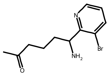 CC(=O)CCCC(N)c1ncccc1Br